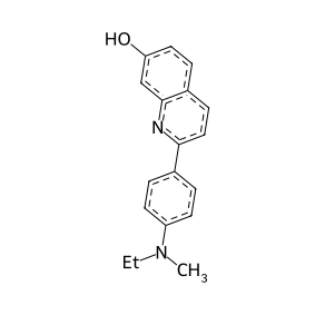 CCN(C)c1ccc(-c2ccc3ccc(O)cc3n2)cc1